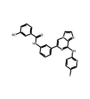 N#Cc1cccc(C(=O)Nc2cccc(-c3cn4ccnc4c(Nc4ccc(F)cn4)n3)c2)c1